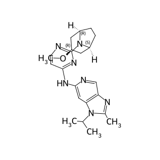 CO[C@H]1C[C@H]2CC[C@@H](C1)N2c1nccc(Nc2cc3c(cn2)nc(C)n3C(C)C)n1